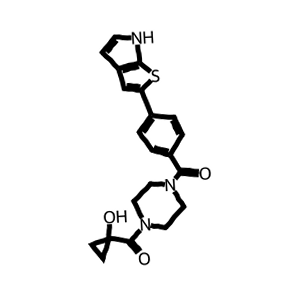 O=C(c1ccc(-c2cc3cc[nH]c3s2)cc1)N1CCN(C(=O)C2(O)CC2)CC1